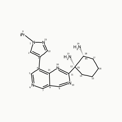 CC(C)n1cc(-c2cncc3cnc([C@]4(N)CCCC[C@H]4N)nc23)cn1